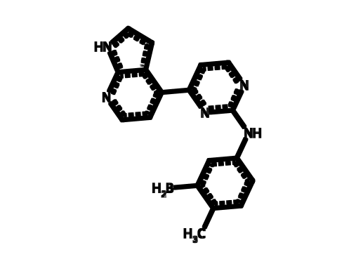 Bc1cc(Nc2nccc(-c3ccnc4[nH]ccc34)n2)ccc1C